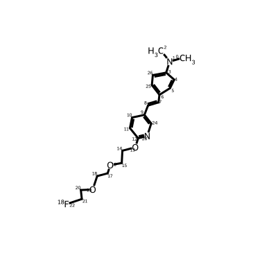 CN(C)c1ccc(/C=C/c2ccc(OCCOCCOCC[18F])nc2)cc1